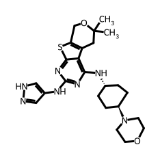 CC1(C)Cc2c(sc3nc(Nc4cn[nH]c4)nc(N[C@H]4CC[C@H](N5CCOCC5)CC4)c23)CO1